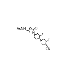 CC(=O)NCC1CN(c2ccc(N3CCC(=CC#N)C(F)C3)c(F)c2)C(=O)O1